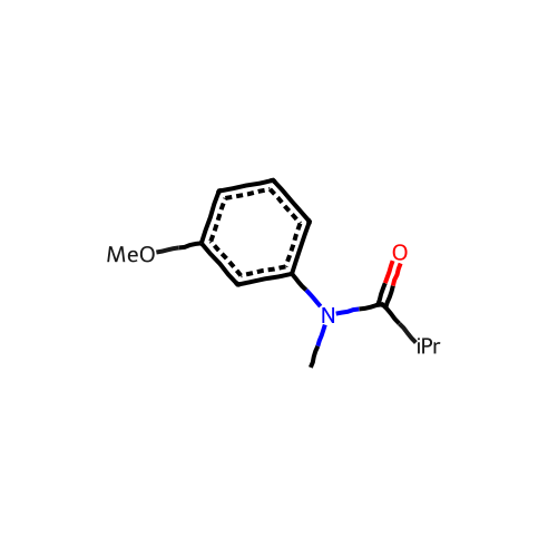 COc1cccc(N(C)C(=O)C(C)C)c1